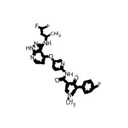 CC(CC(F)F)Nc1n[nH]c2nccc(Oc3ccc(NC(=O)c4cn(C)cc(-c5ccc(F)cc5)c4=O)nc3)c12